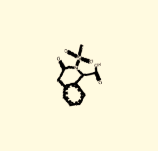 CS(=O)(=O)N1C(=O)Cc2ccccc2C1C(=O)O